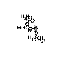 COc1ccc(C(OC(N)=O)C2CCCCC2)cc1-c1cncc(-c2nncn2COCC[Si](C)(C)C)c1